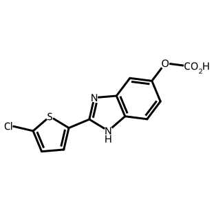 O=C(O)Oc1ccc2[nH]c(-c3ccc(Cl)s3)nc2c1